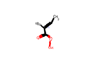 C/C=C(\CCCC)C(=O)OO